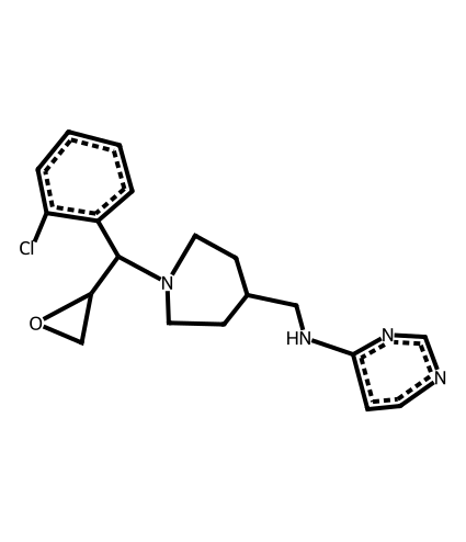 Clc1ccccc1C(C1CO1)N1CCC(CNc2ccncn2)CC1